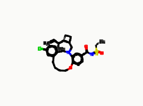 C=C[C@H](OC)[C@@H]1CC[C@H]1CN1Cc2ccc(Cl)cc2CCCCOc2ccc(C(=O)/N=[SH](=O)\C[C@@H](C)CC)cc21